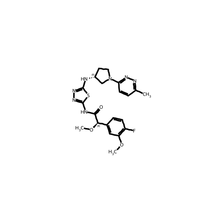 COc1cc([C@@H](OC)C(=O)Nc2nnc(N[C@@H]3CCN(c4ccc(C)nn4)C3)s2)ccc1F